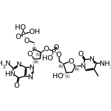 Cc1cn([C@H]2C[C@H](O)[C@@H](COP(=O)(O)O[C@H]3C[C@H](n4cnc5c(=O)[nH]c(N)nc54)O[C@@H]3COP(=O)(O)O)O2)c(=O)nc1N